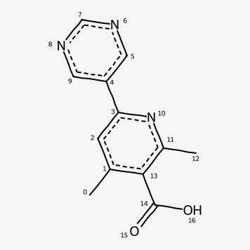 Cc1cc(-c2cncnc2)nc(C)c1C(=O)O